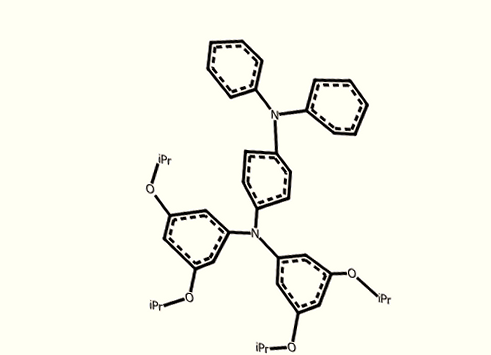 CC(C)Oc1cc(OC(C)C)cc(N(c2ccc(N(c3ccccc3)c3ccccc3)cc2)c2cc(OC(C)C)cc(OC(C)C)c2)c1